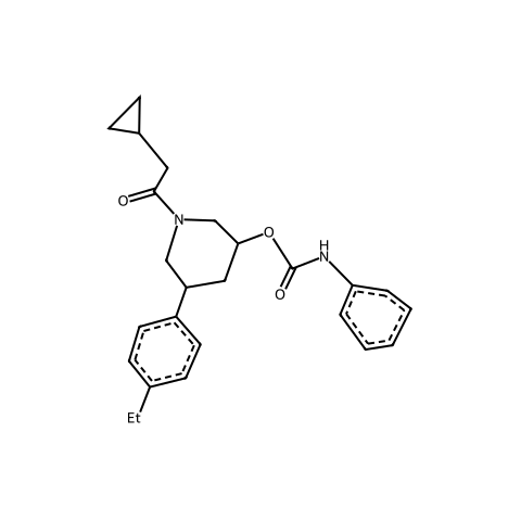 CCc1ccc(C2CC(OC(=O)Nc3ccccc3)CN(C(=O)CC3CC3)C2)cc1